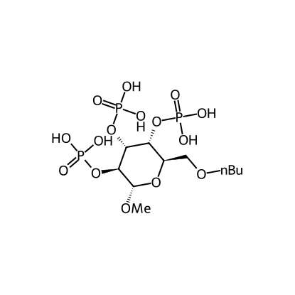 CCCCOC[C@H]1O[C@H](OC)[C@@H](OP(=O)(O)O)[C@H](OP(=O)(O)O)[C@@H]1OP(=O)(O)O